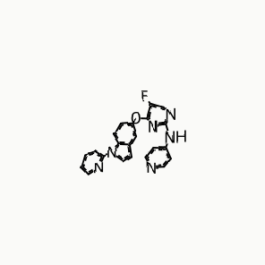 Fc1cnc(Nc2ccncc2)nc1Oc1ccc2c(ccn2-c2ccccn2)c1